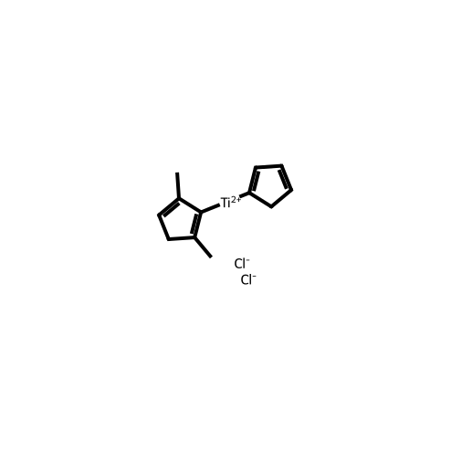 CC1=CCC(C)=[C]1[Ti+2][C]1=CC=CC1.[Cl-].[Cl-]